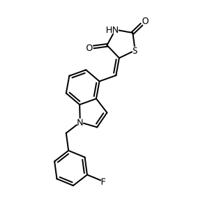 O=C1NC(=O)C(=Cc2cccc3c2ccn3Cc2cccc(F)c2)S1